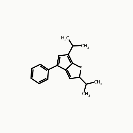 CC(C)C1=C2SC(C(C)C)C=C2C(c2ccccc2)=C1